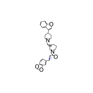 O=C(/C=C/c1ccc2c(c1)OCO2)N1CCC[C@H](CN2CCC(c3coc4ccccc34)CC2)C1